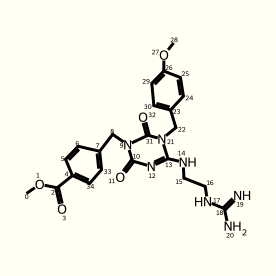 COC(=O)c1ccc(Cn2c(=O)nc(NCCNC(=N)N)n(Cc3ccc(OC)cc3)c2=O)cc1